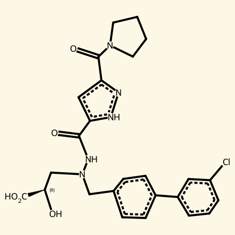 O=C(NN(Cc1ccc(-c2cccc(Cl)c2)cc1)C[C@@H](O)C(=O)O)c1cc(C(=O)N2CCCC2)n[nH]1